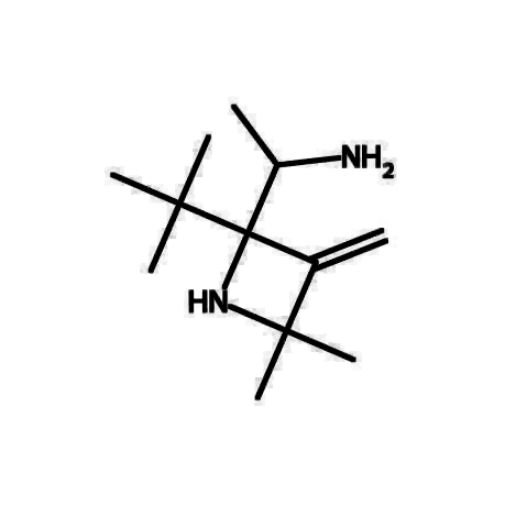 C=C1C(C)(C)NC1(C(C)N)C(C)(C)C